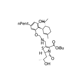 C=C(C)[C@@H]1CCC(C)=C[C@H]1c1c(O)cc(CCCCC)cc1OCNCC1=C(C(=O)OCC(C)C)N2C(=O)[C@H]([C@@H](C)O)[C@H]2S1